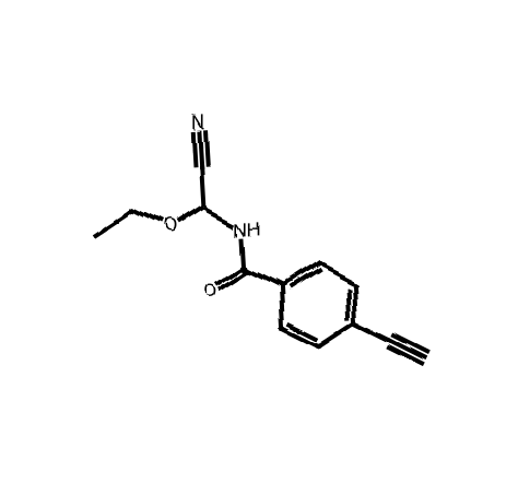 C#Cc1ccc(C(=O)NC(C#N)OCC)cc1